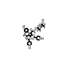 COc1ccc(-n2c(C(=O)N(C)C)c(OC(=O)C3CCNCC3)c(OC(=O)C3CCNCC3)c2C(=O)N(C)C)cc1.O=C(O)C(F)(F)F.O=C(O)C(F)(F)F